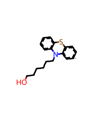 OCCCCCCN1c2c[c]ccc2Sc2ccccc21